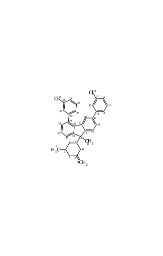 C=C1CC(C)CC(C2(C)c3ccc(-c4cccc(Cl)c4)cc3-c3c(-c4cccc(Cl)c4)cccc32)C1